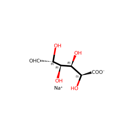 O=C[C@H](O)[C@H](O)[C@@H](O)[C@H](O)C(=O)[O-].[Na+]